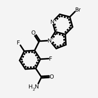 NC(=O)c1ccc(F)c(C(=O)n2ccc3cc(Br)cnc32)c1F